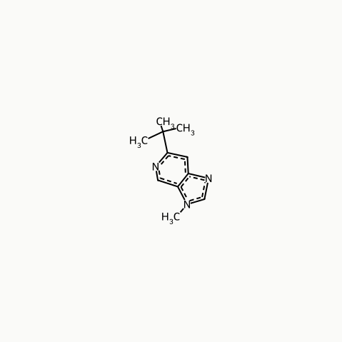 Cn1cnc2cc(C(C)(C)C)ncc21